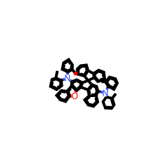 CC1=CC=CCC1N(c1ccccc1C)c1cc2c(c3ccccc13)-c1c(cc(N(c3ccccc3C)c3ccccc3C)c3c1oc1ccccc13)C21c2ccccc2-c2ccccc21